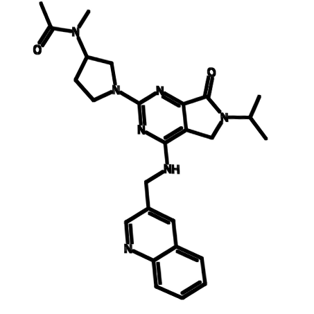 CC(=O)N(C)C1CCN(c2nc(NCc3cnc4ccccc4c3)c3c(n2)C(=O)N(C(C)C)C3)C1